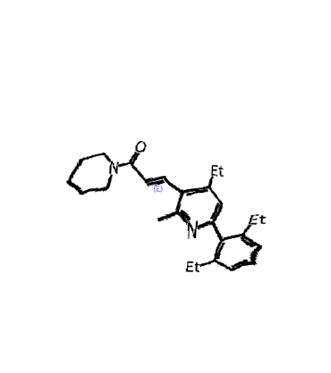 CCc1cc(-c2c(CC)cccc2CC)nc(C)c1/C=C/C(=O)N1CCCCC1